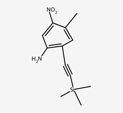 Cc1cc(C#C[Si](C)(C)C)c(N)cc1[N+](=O)[O-]